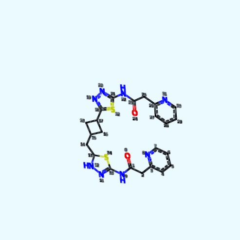 O=C(Cc1ccccn1)NC1=NNC(CC2CC(c3nnc(NC(=O)Cc4ccccn4)s3)C2)S1